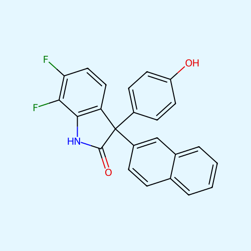 O=C1Nc2c(ccc(F)c2F)C1(c1ccc(O)cc1)c1ccc2ccccc2c1